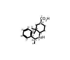 C[C@H]([AsH]C1CCN(C(=O)O)CC1(C)C)c1ccccc1